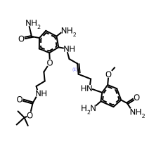 COc1cc(C(N)=O)cc(N)c1NC/C=C/CNc1c(N)cc(C(N)=O)cc1OCCCNC(=O)OC(C)(C)C